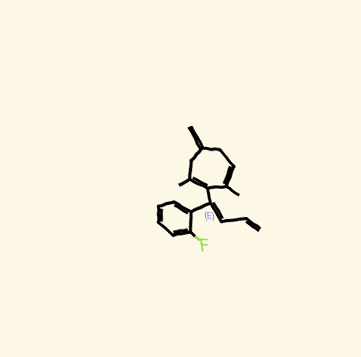 C=C/C=C(\C1=C(C)CC(=C)CC=C1C)c1ccccc1F